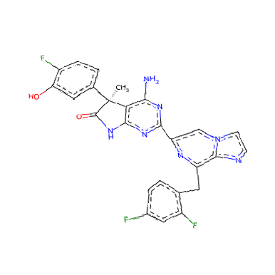 C[C@@]1(c2ccc(F)c(O)c2)C(=O)Nc2nc(-c3cn4ccnc4c(Cc4ccc(F)cc4F)n3)nc(N)c21